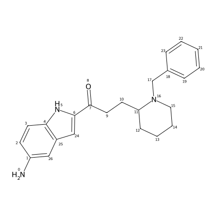 Nc1ccc2[nH]c(C(=O)CCC3CCCCN3Cc3ccccc3)cc2c1